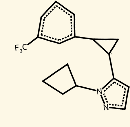 FC(F)(F)c1cccc(C2C[C]2c2ccnn2C2CCC2)c1